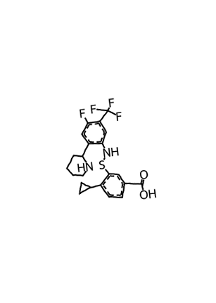 O=C(O)c1ccc(C2CC2)c(SNc2cc(C(F)(F)F)c(F)cc2C2CCCCN2)c1